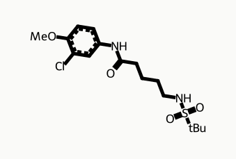 COc1ccc(NC(=O)CCCCNS(=O)(=O)C(C)(C)C)cc1Cl